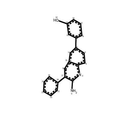 Nc1nc2ccc(-c3cccc(O)c3)cc2cc1-c1ccccc1